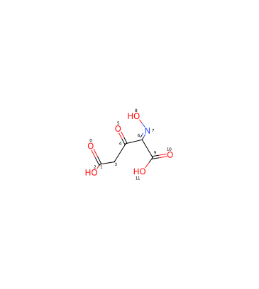 O=C(O)CC(=O)/C(=N\O)C(=O)O